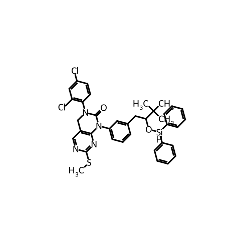 CSc1ncc2c(n1)N(c1cccc(CC(O[SiH](c3ccccc3)c3ccccc3)C(C)(C)C)c1)C(=O)N(c1ccc(Cl)cc1Cl)C2